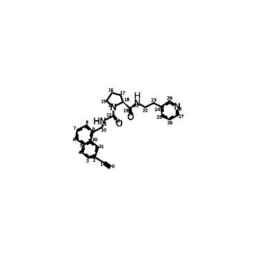 C#Cc1ccc2cccc(CNC(=O)N3CCC[C@H]3C(=O)NCCc3cccnc3)c2c1